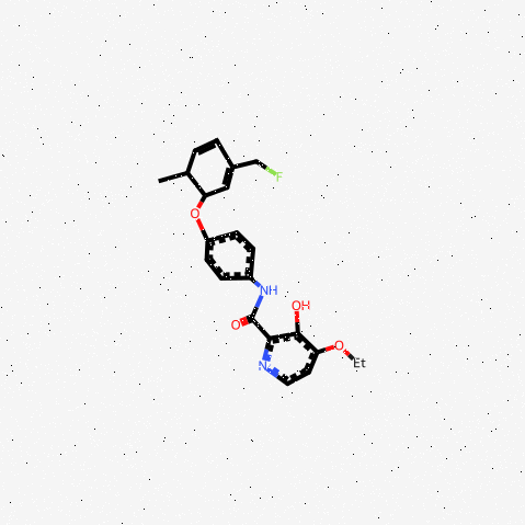 CCOc1ccnc(C(=O)Nc2ccc(OC3C=C(CF)C=CC3C)cc2)c1O